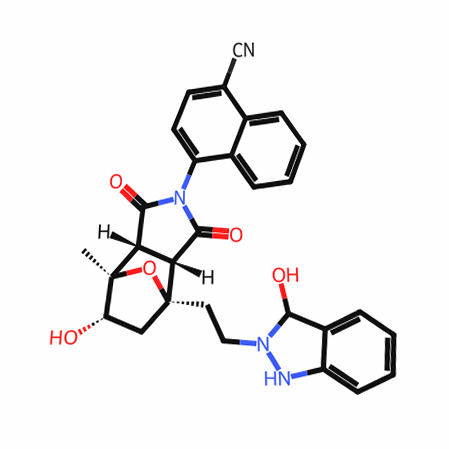 C[C@]12O[C@](CCN3Nc4ccccc4C3O)(C[C@@H]1O)[C@H]1C(=O)N(c3ccc(C#N)c4ccccc34)C(=O)[C@H]12